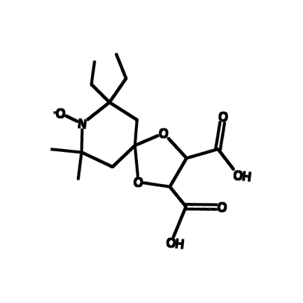 CCC1(CC)CC2(CC(C)(C)N1[O])OC(C(=O)O)C(C(=O)O)O2